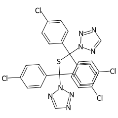 Clc1ccc(C(SC(c2ccc(Cl)cc2)(c2ccc(Cl)cc2)n2ncnn2)(c2ccc(Cl)cc2)n2ncnn2)cc1